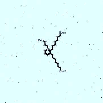 CCCCCCCCCCCCCCCCCc1ccc[n+](CCCCCCCCCCCCC)c1CCCCCCCCCCCCCCCCC